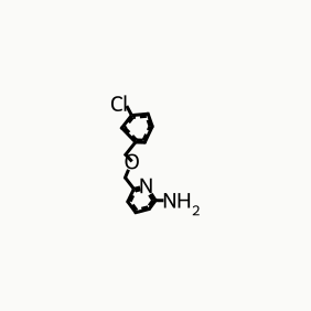 Nc1cccc(COCc2cccc(Cl)c2)n1